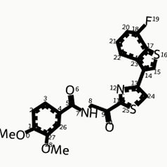 COc1ccc(C(=O)NCC(=O)c2nc(-c3csc4c(F)cccc34)cs2)cc1OC